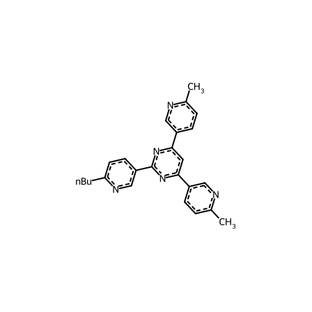 CCCCc1ccc(-c2nc(-c3ccc(C)nc3)cc(-c3ccc(C)nc3)n2)cn1